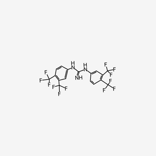 N=C(Nc1ccc(C(F)(F)F)c(C(F)(F)F)c1)Nc1ccc(C(F)(F)F)c(C(F)(F)F)c1